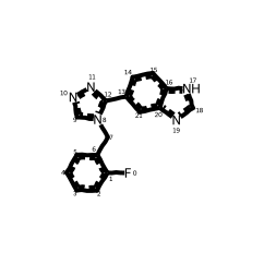 Fc1ccccc1Cn1cnnc1-c1ccc2[nH]cnc2c1